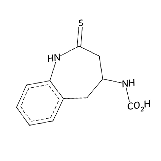 O=C(O)NC1CC(=S)Nc2ccccc2C1